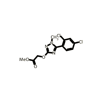 COC(=O)COc1nc(-c2ccc(Cl)cc2Cl)n(C)n1